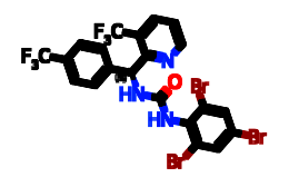 O=C(Nc1c(Br)cc(Br)cc1Br)N[C@@H](c1ccc(C(F)(F)F)cc1)c1ncccc1C(F)(F)F